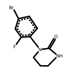 O=C1NCCCN1c1ccc(Br)cc1F